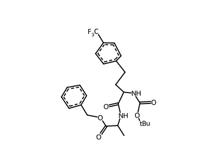 CC(NC(=O)C(CCc1ccc(C(F)(F)F)cc1)NC(=O)OC(C)(C)C)C(=O)OCc1ccccc1